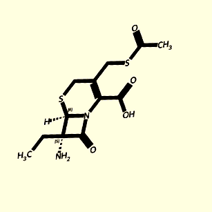 CC[C@]1(N)C(=O)N2C(C(=O)O)=C(CSC(C)=O)CS[C@@H]21